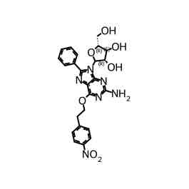 Nc1nc(OCCc2ccc([N+](=O)[O-])cc2)c2nc(-c3ccccc3)n(C3O[C@H](CO)[C@@H](O)[C@H]3O)c2n1